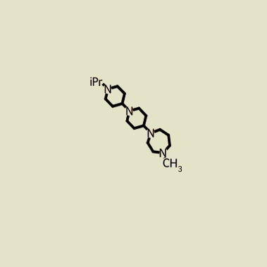 CC(C)N1CCC(N2CCC(N3CCCN(C)CC3)CC2)CC1